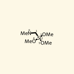 CNC[Si](OC)(OC)OC